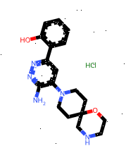 Cl.Nc1nnc(-c2ccccc2O)cc1N1CCC2(CC1)CNCCO2